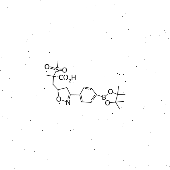 CC1(C)OB(c2ccc(C3=NOC(CC(C)(C(=O)O)S(C)(=O)=O)C3)cc2)OC1(C)C